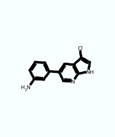 Nc1cccc(-c2cnc3[nH]cc(Cl)c3c2)c1